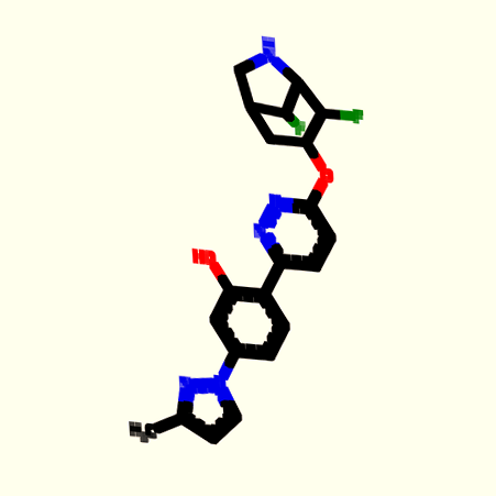 Cc1ccn(-c2ccc(-c3ccc(OC4CC5CNC(C5F)C4F)nn3)c(O)c2)n1